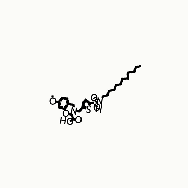 CCCCCCCCCCCCNS(=O)(=O)c1ccc(CN(Cc2ccc(OC)cc2)C(=O)C(=O)O)s1